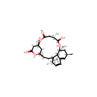 C[C@H]1C=C2C=C[C@H](C)[C@@H]3CC[C@H]4C[C@H](CC(=O)O4)OC(=O)C[C@H](C)C(=O)O[C@@H](C1)[C@@H]23